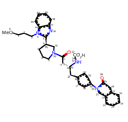 COCCCn1c([C@@H]2CCCN(C(=O)C[C@@H](Cc3ccc(-n4cc5ccccc5cc4=O)cc3)NC(=O)O)C2)nc2ccccc21